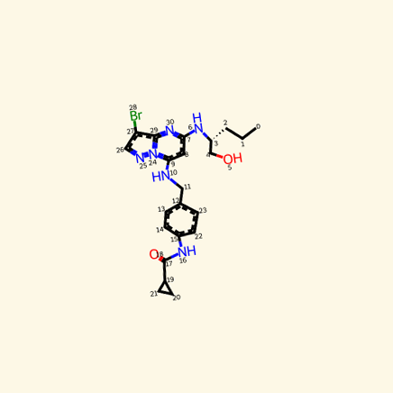 CCC[C@H](CO)Nc1cc(NCc2ccc(NC(=O)C3CC3)cc2)n2ncc(Br)c2n1